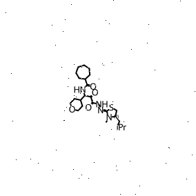 CC(C)C[C@@H]1CSC(=NNC(=O)C(=O)C(NC(=O)C2CCCCCC2)C2CCOCC2)N1C